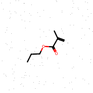 [CH]=C(C)C(=O)OCCC